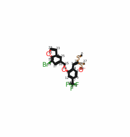 CSC(=Cc1ccc(C(F)(F)F)cc1OCc1cc(Br)c2occc2c1)[S+](C)[O-]